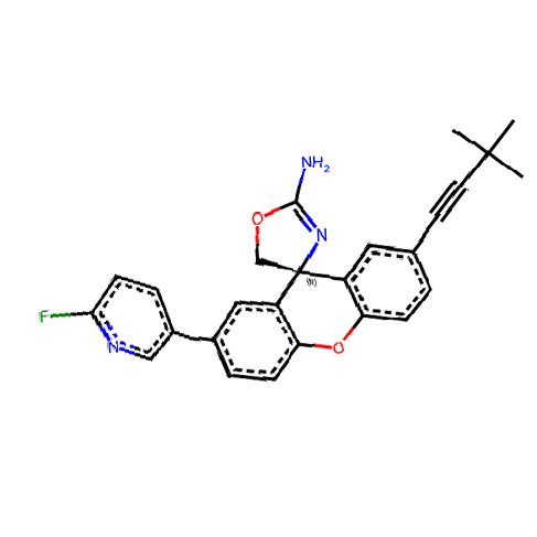 CC(C)(C)C#Cc1ccc2c(c1)[C@]1(COC(N)=N1)c1cc(-c3ccc(F)nc3)ccc1O2